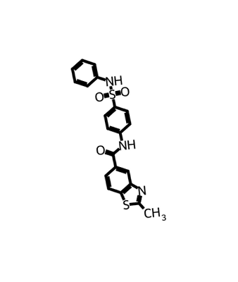 Cc1nc2cc(C(=O)Nc3ccc(S(=O)(=O)Nc4ccccc4)cc3)ccc2s1